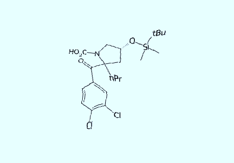 CCCC1(C(=O)c2ccc(Cl)c(Cl)c2)C[C@@H](O[Si](C)(C)C(C)(C)C)CN1C(=O)O